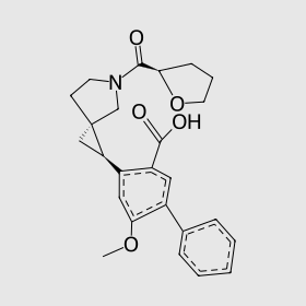 COc1cc([C@H]2C[C@@]23CCN(C(=O)[C@H]2CCCO2)C3)c(C(=O)O)cc1-c1ccccc1